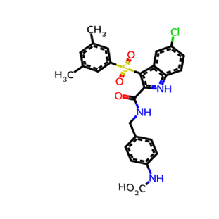 Cc1cc(C)cc(S(=O)(=O)c2c(C(=O)NCc3ccc(NC(=O)O)cc3)[nH]c3ccc(Cl)cc23)c1